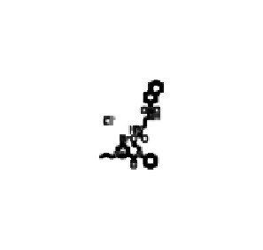 CCC[n+]1cc(Br)cc(C(=O)N(CCOC(=O)NCCNS(=O)(=O)c2ccc3ccccc3c2)c2ccccc2)c1.[Cl-]